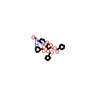 O=CNc1ccc(O[C@@H]2O[C@H](COC(=O)c3ccccc3)[C@@H](OC(=O)c3ccccc3)[C@H]2OC(=O)c2ccccc2)nc1